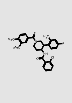 COc1ccc(C(=O)N2CCC(NC(=O)c3ccccc3Cl)C(c3ccc(F)cc3C)C2)cc1OC